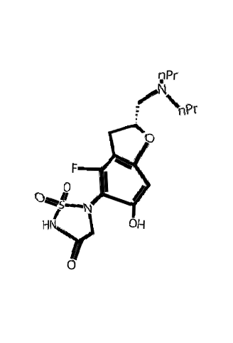 CCCN(CCC)C[C@H]1Cc2c(cc(O)c(N3CC(=O)NS3(=O)=O)c2F)O1